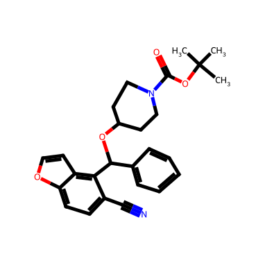 CC(C)(C)OC(=O)N1CCC(OC(c2ccccc2)c2c(C#N)ccc3occc23)CC1